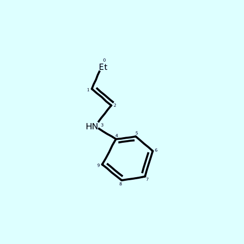 CC/C=C/Nc1ccccc1